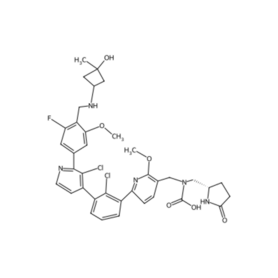 COc1cc(-c2nccc(-c3cccc(-c4ccc(CN(C[C@@H]5CCC(=O)N5)C(=O)O)c(OC)n4)c3Cl)c2Cl)cc(F)c1CNC1CC(C)(O)C1